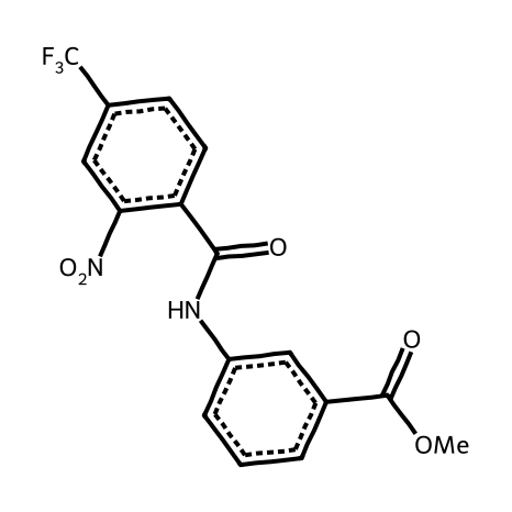 COC(=O)c1cccc(NC(=O)c2ccc(C(F)(F)F)cc2[N+](=O)[O-])c1